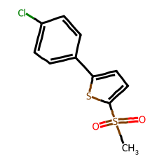 CS(=O)(=O)c1ccc(-c2ccc(Cl)cc2)s1